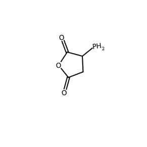 O=C1CC(P)C(=O)O1